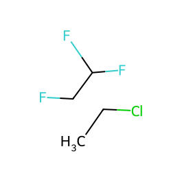 CCCl.FCC(F)F